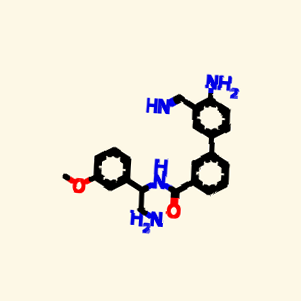 COc1cccc(C(CN)NC(=O)c2cccc(-c3ccc(N)c(C=N)c3)c2)c1